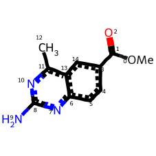 COC(=O)c1ccc2nc(N)nc(C)c2c1